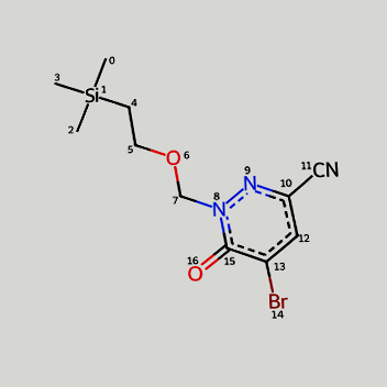 C[Si](C)(C)CCOCn1nc(C#N)cc(Br)c1=O